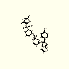 Cc1nc(C)c(S(=O)(=O)N2CCC[C@@H](Nc3nccc(-c4c(-c5ccc(F)cc5)nc5occn45)n3)C2)s1